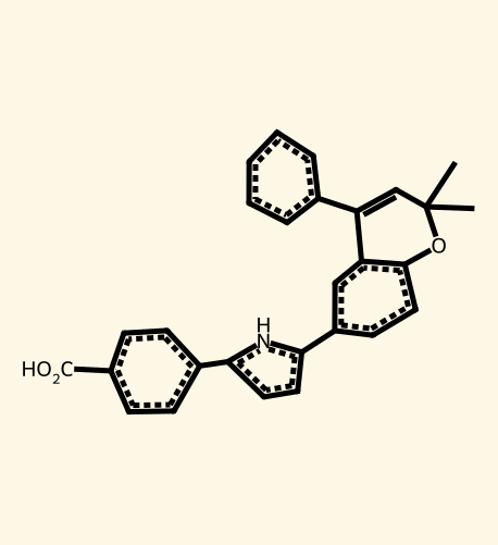 CC1(C)C=C(c2ccccc2)c2cc(-c3ccc(-c4ccc(C(=O)O)cc4)[nH]3)ccc2O1